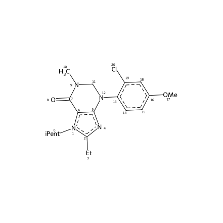 CCCC(C)n1c(CC)nc2c1C(=O)N(C)CN2c1ccc(OC)cc1Cl